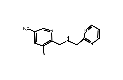 Cc1cc(C(F)(F)F)cnc1CNCc1ncccn1